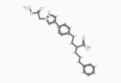 COC(=O)Cn1cc(-c2ccc(CCC(CCCc3ccccc3)C(=O)O)cc2)cn1